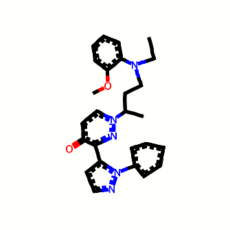 CCN(CCC(C)n1ccc(=O)c(-c2ccnn2-c2ccccc2)n1)c1ccccc1OC